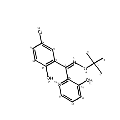 CC(C)(C)ON=C(c1cc(Cl)ccc1O)c1ncccc1O